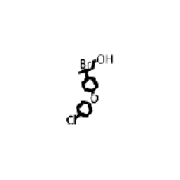 CC(Br)(CCO)c1ccc(Oc2ccc(Cl)cc2)cc1